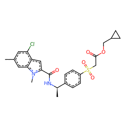 Cc1cc(Cl)c2cc(C(=O)N[C@H](C)c3ccc(S(=O)(=O)CC(=O)OCC4CC4)cc3)n(C)c2c1